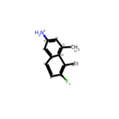 CCc1c(F)ccc2cc(N)cc(C)c12